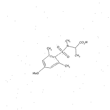 COc1cc(C)c(S(=O)(=O)N(C)C(C)C(=O)O)c(C)c1